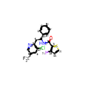 O=C(NC(Cc1ncc(C(F)(F)F)cc1Cl)c1ccccc1)c1sccc1I